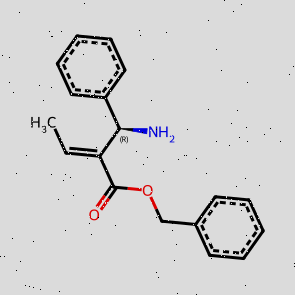 CC=C(C(=O)OCc1ccccc1)[C@H](N)c1ccccc1